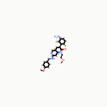 COCCn1c(=O)c(-c2c(F)ccc(N)c2F)cc2cnc(NCc3ccc(OC)cc3)cc21